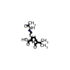 CC(=O)N/C=C/SC1=C(C(=O)O)N2C(=O)C(C(C)C)C2C1